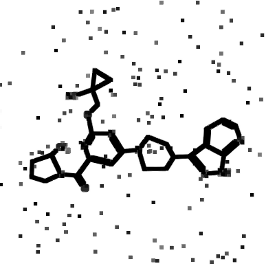 N#CC1(COc2nc(C(=O)N3CCCC3C(F)(F)F)cc(N3CCC(c4n[nH]c5ncccc45)CC3)n2)CC1